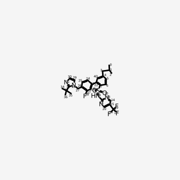 CC(C)Cc1ccc(S(=O)(=O)Nc2ncc(C(F)(F)F)cn2)c(-c2ccc(Cn3ccnc3C(C)(C)C)c(F)c2)c1